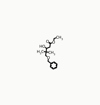 CCOC(=O)CC(O)C(C)(C)COCc1ccccc1